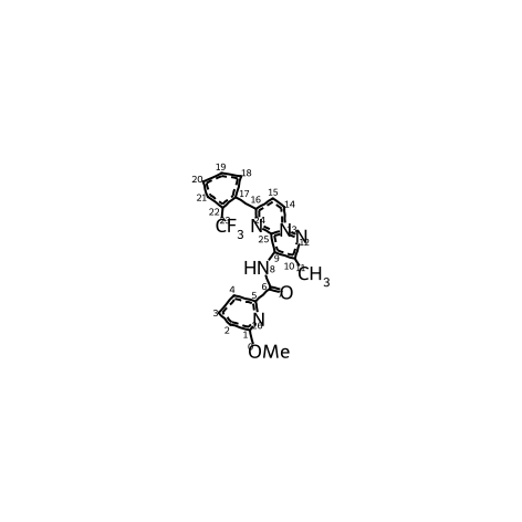 COc1cccc(C(=O)Nc2c(C)nn3ccc(-c4ccccc4C(F)(F)F)nc23)n1